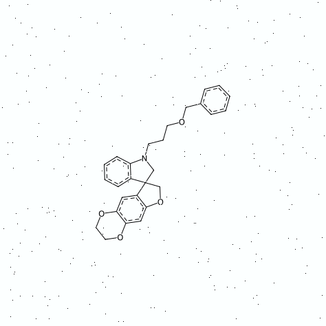 c1ccc(COCCCN2CC3(COc4cc5c(cc43)OCCO5)c3ccccc32)cc1